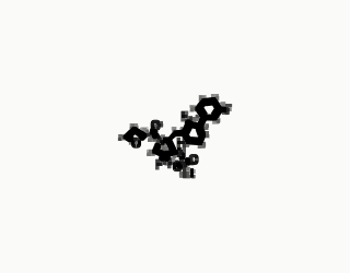 CCS(=O)(=O)N[C@@H]1[C@H](Cc2cccc(-c3cccc(F)c3)c2F)N(C(=O)[C@H]2CCO2)CC1(F)F